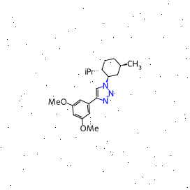 COc1cc(OC)cc(-c2cn([C@@H]3C[C@H](C)CC[C@H]3C(C)C)nn2)c1